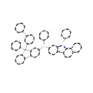 c1ccc(-c2cccc(C3(c4ccccc4)c4ccccc4-c4ccc(N(c5ccccc5)c5ccc6c7ccc8ccccc8c7n(-c7ccccc7)c6c5)cc43)c2)cc1